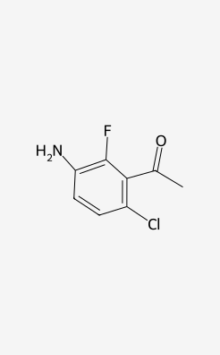 CC(=O)c1c(Cl)ccc(N)c1F